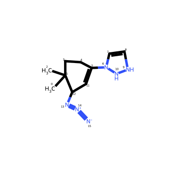 CC1(C)CCC(N2C=CNN2)=CC1N=[N+]=[N-]